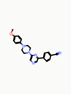 COc1ccc(N2CCN(c3cncc(-c4ccc(C#N)cc4)n3)CC2)cc1